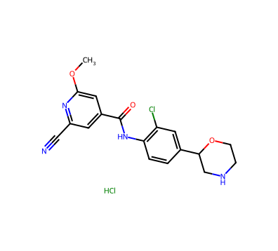 COc1cc(C(=O)Nc2ccc(C3CNCCO3)cc2Cl)cc(C#N)n1.Cl